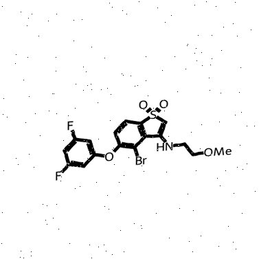 COCCNC1=CS(=O)(=O)c2ccc(Oc3cc(F)cc(F)c3)c(Br)c21